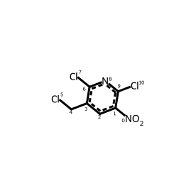 O=[N+]([O-])c1cc(CCl)c(Cl)nc1Cl